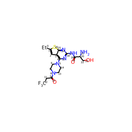 CCc1cc2c(N3CCN(C(=O)CC(F)(F)F)CC3)nc(NC(=O)[C@@H](N)CO)nc2s1